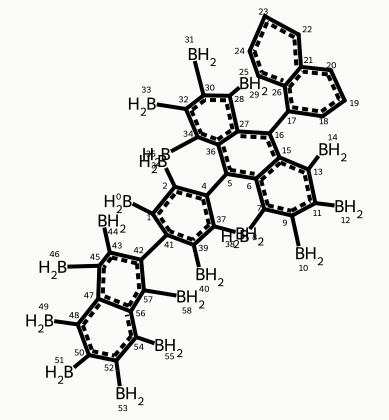 Bc1c(B)c(-c2c3c(B)c(B)c(B)c(B)c3c(-c3cccc4ccccc34)c3c(B)c(B)c(B)c(B)c23)c(B)c(B)c1-c1c(B)c(B)c2c(B)c(B)c(B)c(B)c2c1B